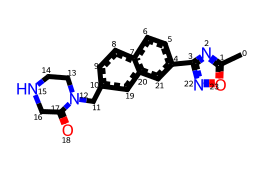 Cc1nc(-c2ccc3ccc(CN4CCNCC4=O)cc3c2)no1